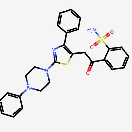 NS(=O)(=O)c1ccccc1C(=O)Cc1sc(N2CCN(c3ccccc3)CC2)nc1-c1ccccc1